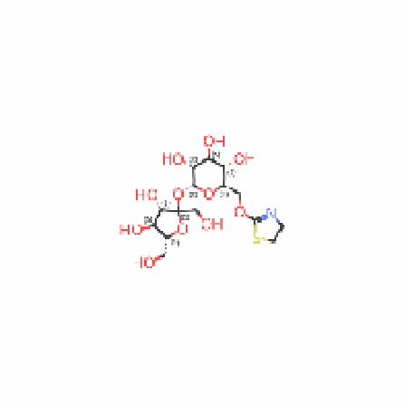 OC[C@H]1O[C@@](CO)(O[C@H]2O[C@H](COC3=NCCS3)[C@@H](O)[C@H](O)[C@H]2O)[C@@H](O)[C@@H]1O